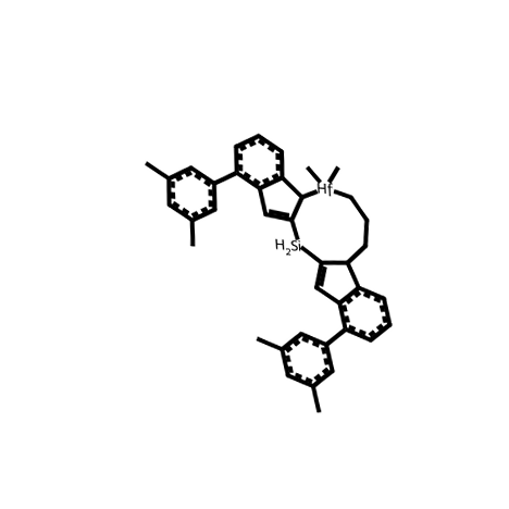 Cc1cc(C)cc(-c2cccc3c2C=C2[SiH2]C4=Cc5c(-c6cc(C)cc(C)c6)cccc5[CH]4[Hf]([CH3])([CH3])[CH2]CCC23)c1